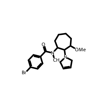 COC1CCCCC(N(C)C(=O)c2ccc(Br)cc2)C1N1CC=CC1